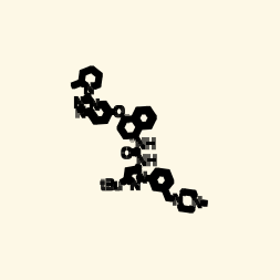 CC1CCCCN1c1nnc2ccc(O[C@@H]3CC[C@H](NC(=O)Nc4cc(C(C)(C)C)nn4-c4cccc(CN5CCN(C)CC5)c4)c4ccccc43)cn12